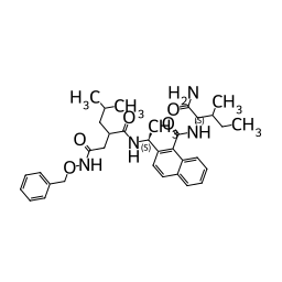 CCC(C)[C@H](NC(=O)c1c([C@H](C)NC(=O)C(CC(=O)NOCc2ccccc2)CC(C)C)ccc2ccccc12)C(N)=O